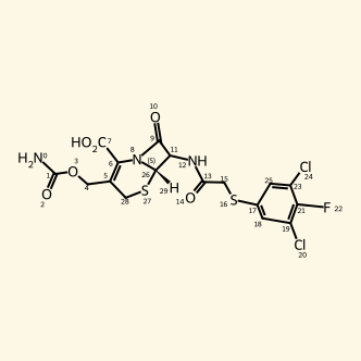 NC(=O)OCC1=C(C(=O)O)N2C(=O)C(NC(=O)CSc3cc(Cl)c(F)c(Cl)c3)[C@@H]2SC1